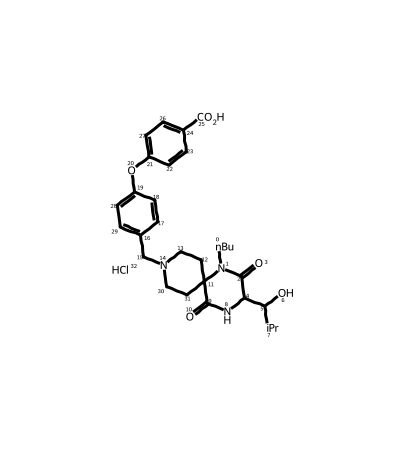 CCCCN1C(=O)C(C(O)C(C)C)NC(=O)C12CCN(Cc1ccc(Oc3ccc(C(=O)O)cc3)cc1)CC2.Cl